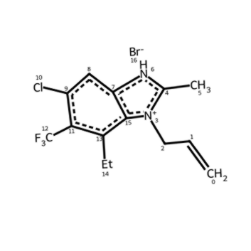 C=CC[n+]1c(C)[nH]c2cc(Cl)c(C(F)(F)F)c(CC)c21.[Br-]